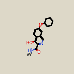 CC(C)NC(=O)c1ncc2cc(OC3CCCCC3)ccc2c1O